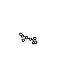 c1ccc(-c2cc(-c3ccc(N(c4ccccc4)c4cccc5ccccc45)cc3)ccc2-c2ccc3ccccc3c2)cc1